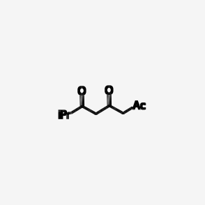 CC(=O)CC(=O)CC(=O)C(C)C